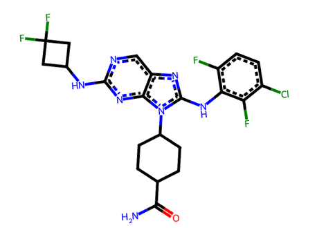 NC(=O)C1CCC(n2c(Nc3c(F)ccc(Cl)c3F)nc3cnc(NC4CC(F)(F)C4)nc32)CC1